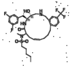 CCCCCS(=O)(=O)N(C)C1CC=CCCCc2ccc(C(F)(F)F)cc2CNC[C@@H](O)[C@H](Cc2cc(F)cc(F)c2)NC1=O